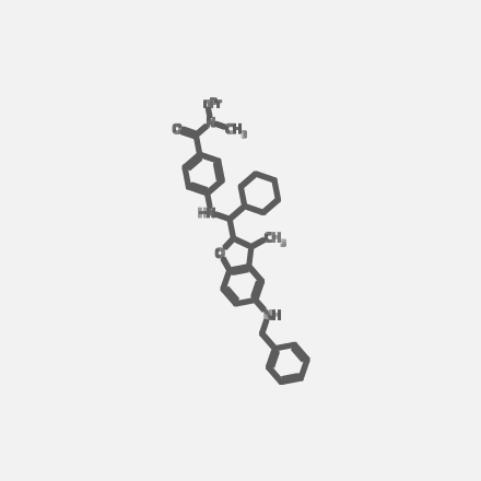 CCCN(C)C(=O)c1ccc(NC(C2CCCCC2)C2Oc3ccc(NCc4ccccc4)cc3C2C)cc1